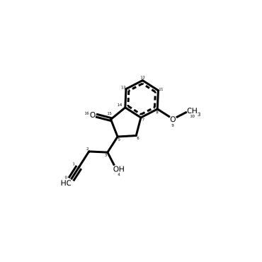 C#CCC(O)C1Cc2c(OC)cccc2C1=O